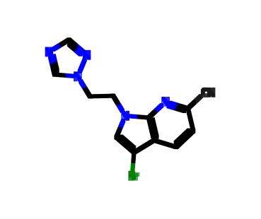 N#Cc1ccc2c(Br)cn(CCn3cncn3)c2n1